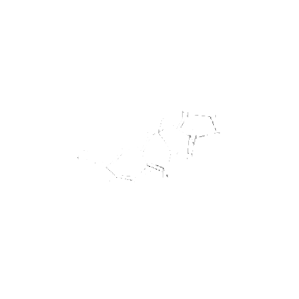 CC1(C2=NCCN2)C=c2cc(Cl)ccc2=NC1